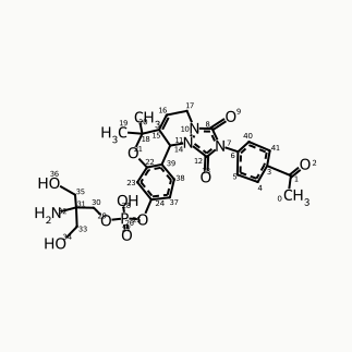 CC(=O)c1ccc(-n2c(=O)n3n(c2=O)C2C(=CC3)C(C)(C)Oc3cc(OP(=O)(O)OCC(N)(CO)CO)ccc32)cc1